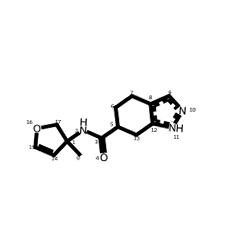 CC1(NC(=O)C2CCc3cn[nH]c3C2)C=COC1